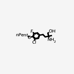 CCCCCOc1c(F)cc(CCC(C)(N)CO)cc1Cl